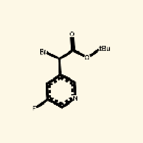 CC(C)(C)OC(=O)C(Br)c1cncc(F)c1